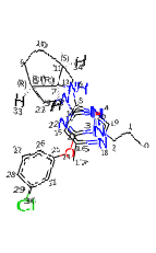 CCCn1nc(N[C@H]2[C@@H]3CC[C@H]2CN(c2cc(C)ncn2)C3)nc1Oc1cccc(Cl)c1